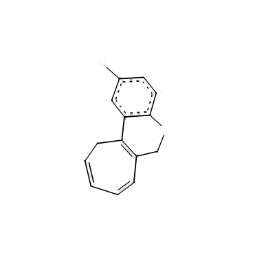 Nc1ccc2c(c1)C1=C(C=CC=CC1)CO2